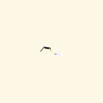 C/C=C\SN